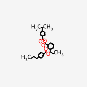 CCCCc1ccc(C(=O)OC(CC)c2cccc(C(=O)OC(=O)c3ccc(C(C)C)cc3)c2)cc1